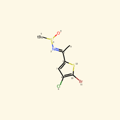 CC(=N[S+]([O-])C(C)(C)C)c1cc(Cl)c(Br)s1